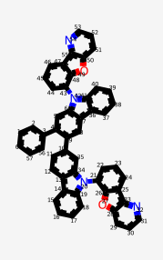 c1ccc(-c2cc3c(cc2-c2ccc4c5ccccc5n(-c5cccc6c5oc5cccnc56)c4c2)c2ccccc2n3-c2cccc3c2oc2cccnc23)cc1